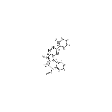 C=CC1c2ccccc2N2c3nc(-c4ccccc4C)nnc3N(C)C2C1C